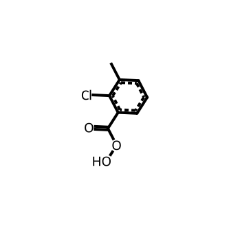 Cc1cccc(C(=O)OO)c1Cl